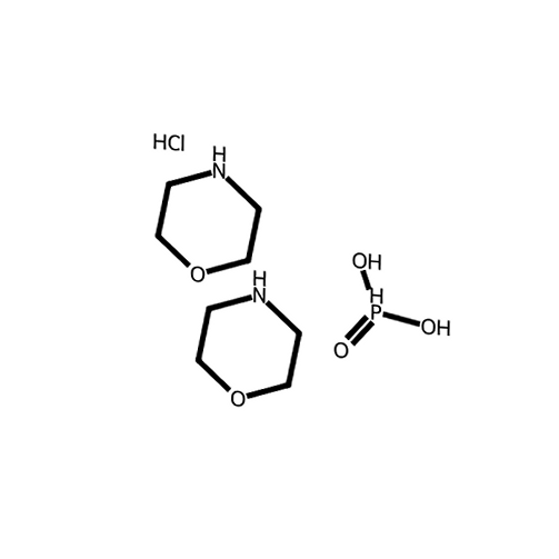 C1COCCN1.C1COCCN1.Cl.O=[PH](O)O